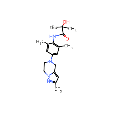 Cc1cc(N2CCn3nc(C(F)(F)F)cc3C2)cc(C)c1NC(=O)C(C)(O)C(C)(C)C